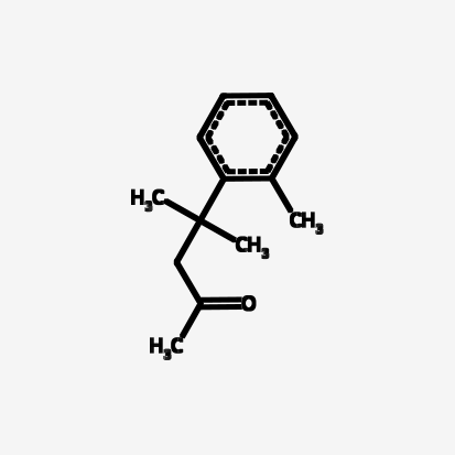 CC(=O)CC(C)(C)c1ccccc1C